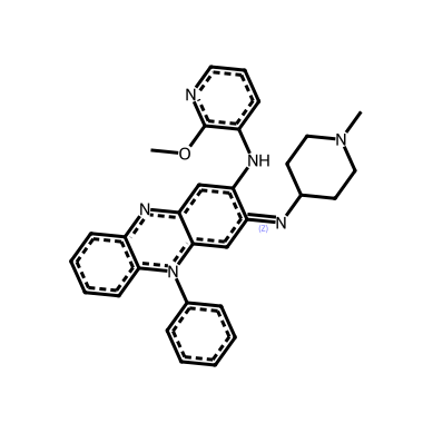 COc1ncccc1Nc1cc2nc3ccccc3n(-c3ccccc3)c-2c/c1=N/C1CCN(C)CC1